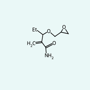 C=C(C(N)=O)C(CC)OCC1CO1